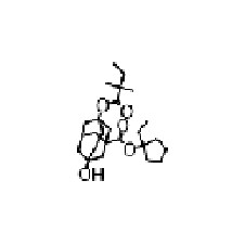 CCC1(OC(=O)C23CC4CC(O)(CC(OC(=O)C(C)(C)CC)(C4)C2)C3)CCCC1